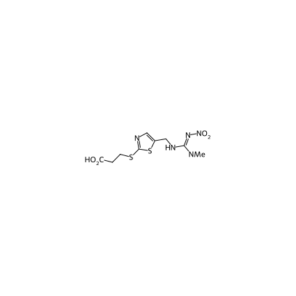 CNC(=N[N+](=O)[O-])NCc1cnc(SCCC(=O)O)s1